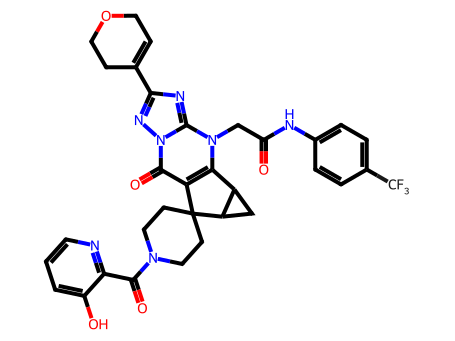 O=C(Cn1c2c(c(=O)n3nc(C4=CCOCC4)nc13)C1(CCN(C(=O)c3ncccc3O)CC1)C1CC21)Nc1ccc(C(F)(F)F)cc1